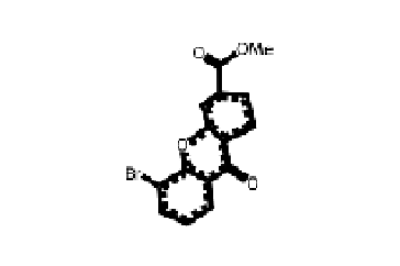 COC(=O)c1ccc2c(=O)c3cccc(Br)c3oc2c1